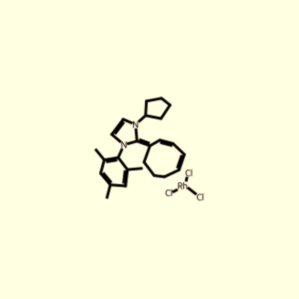 Cc1cc(C)c(N2C=CN(C3CCCC3)C2=C2C=CC=CCCC2)c(C)c1.[Cl][Rh]([Cl])[Cl]